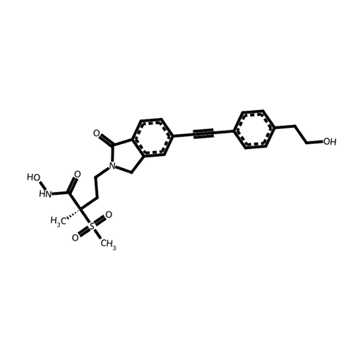 C[C@@](CCN1Cc2cc(C#Cc3ccc(CCO)cc3)ccc2C1=O)(C(=O)NO)S(C)(=O)=O